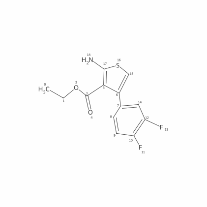 CCOC(=O)c1c(-c2ccc(F)c(F)c2)csc1N